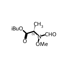 CON(C=O)[C@@H](C)C(=O)OCC(C)C